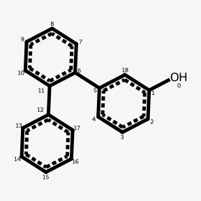 Oc1cccc(-c2ccccc2-c2ccccc2)c1